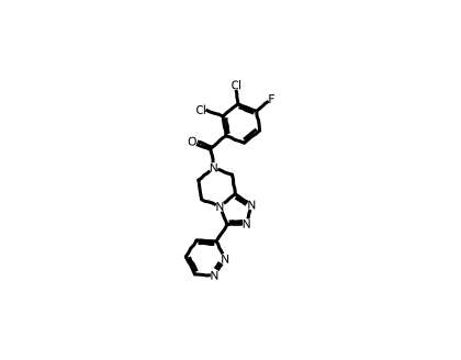 O=C(c1ccc(F)c(Cl)c1Cl)N1CCn2c(nnc2-c2cccnn2)C1